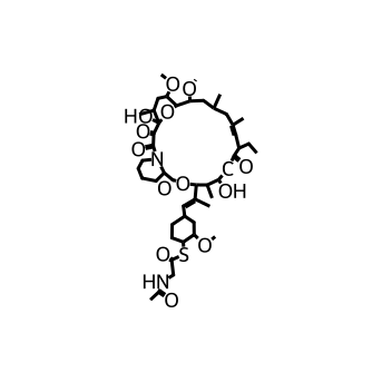 CCC1/C=C(\C)CC(C)CC(OC)C2OC(O)(C(=O)C(=O)N3CCCCC3C(=O)OC(/C(C)=C/C3CCC(SC(=O)CNC(C)=O)C(OC)C3)C(C)C(O)CC1=O)C(C)CC2OC